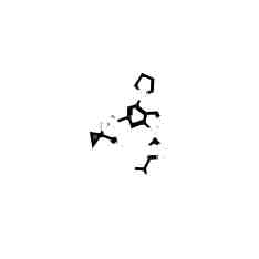 N#CC1(NS(=O)(=O)c2cc(N3CCCC3)c3cnn(-c4nnc(C(F)F)s4)c3c2)CC1